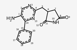 Nc1cnc(CC2CC(=O)NC2=O)nc1-c1ccccc1